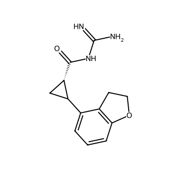 N=C(N)NC(=O)[C@H]1CC1c1cccc2c1CCO2